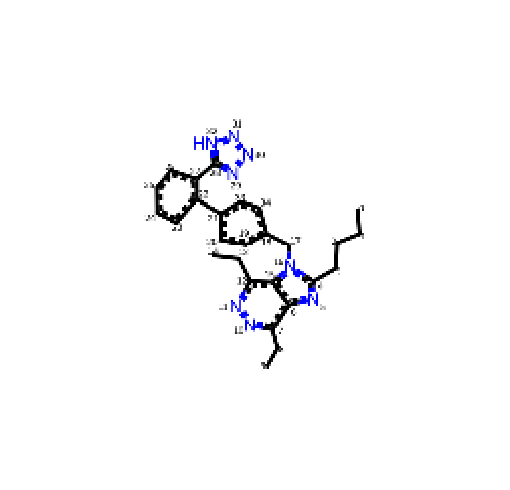 CCCCc1nc2c(CC)nnc(CC)c2n1Cc1ccc(-c2ccccc2-c2nnn[nH]2)cc1